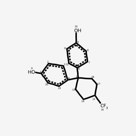 Oc1ccc(C2(c3ccc(O)cc3)CCC(C(F)(F)F)CC2)cc1